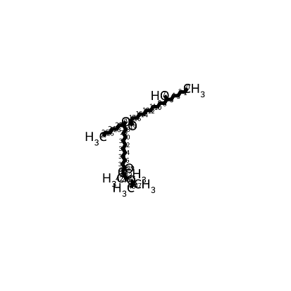 CCCCCCC(O)CCCCCCCCCCC(=O)OC(CCCCCC)CCCCCCCCCCC(=O)OC(C)(C)COC(C)C